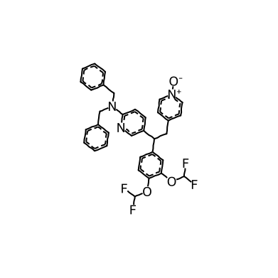 [O-][n+]1ccc(CC(c2ccc(N(Cc3ccccc3)Cc3ccccc3)nc2)c2ccc(OC(F)F)c(OC(F)F)c2)cc1